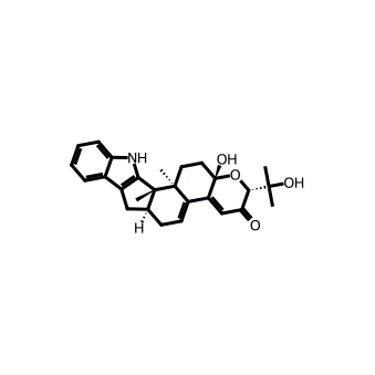 CC(C)(O)[C@H]1O[C@@]2(O)CC[C@@]3(C)C(=CC[C@H]4Cc5c([nH]c6ccccc56)[C@@]43C)C2=CC1=O